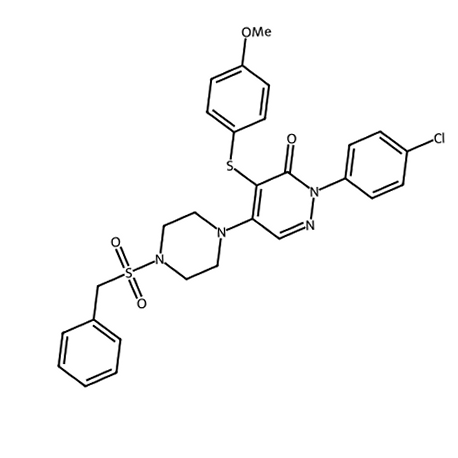 COc1ccc(Sc2c(N3CCN(S(=O)(=O)Cc4ccccc4)CC3)cnn(-c3ccc(Cl)cc3)c2=O)cc1